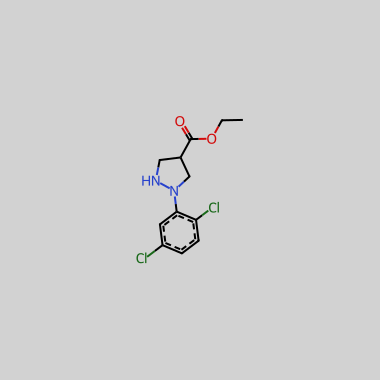 CCOC(=O)C1CNN(c2cc(Cl)ccc2Cl)C1